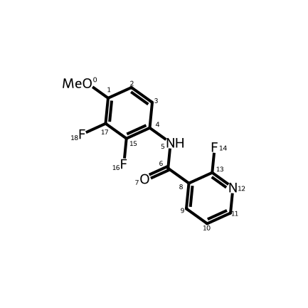 COc1ccc(NC(=O)c2cccnc2F)c(F)c1F